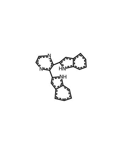 c1ccc2[nH]c(-c3nccnc3-c3cc4ccccc4[nH]3)cc2c1